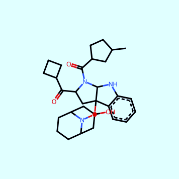 CC1CCC(C(=O)N2C(C(=O)C3CCC3)CC3(ON4C5CCCC4CC(O)C5)c4ccccc4NC23)C1